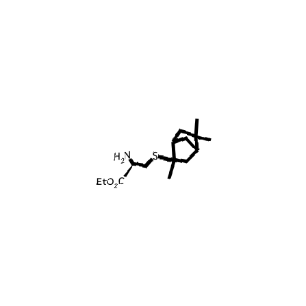 CCOC(=O)[C@@H](N)CSC1(C)CC2CC1CC2(C)C